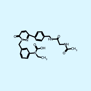 CCN(C(=O)O)c1cccc(Cn2nc(-c3ccc(CNC(=O)CNC(C)=O)cc3)ccc2=O)c1